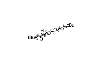 CC(C)(C)CCOCCOCCOCCNC(=O)CCC(C)(C)C